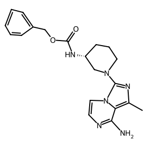 Cc1nc(N2CCC[C@@H](NC(=O)OCc3ccccc3)C2)n2ccnc(N)c12